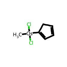 [CH3][Os]([Cl])([Cl])[C]1=CC=CC1